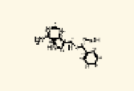 Nc1ncnc2c(CN[C@H](CO)C3=CCCC=C3)c[nH]c12